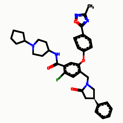 Cc1noc(-c2ccc(Oc3cc(C(=O)NC4CCN(C5CCCC5)CC4)c(F)cc3CN3C[C@H](c4ccccc4)CC3=O)cc2)n1